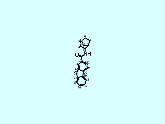 O=C(NC1CN2CCC1C2)c1cc2sc3ccccc3c2cn1